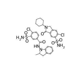 CC1Cc2ccccc2N1NC(=O)c1ccc(Cl)c(S(N)(=O)=O)c1.NS(=O)(=O)c1cc2c(cc1Cl)CN(C1CCCCC1)C2=O